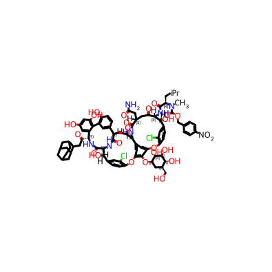 CC(C)C[C@H](C(=O)N[C@H]1C(=O)C[C@@H](CC(N)=O)C(=O)N[C@H]2C(=O)C[C@H]3C(=O)N[C@H](C(=O)N[C@H](C(=O)CC4C5CC6CC(C5)CC4C6)c4cc(O)cc(O)c4-c4cc3ccc4O)[C@H](O)c3ccc(c(Cl)c3)Oc3cc2cc(c3O[C@@H]2C[C@H](CO)[C@@H](O)[C@H](O)[C@H]2O)Oc2ccc(cc2Cl)[C@H]1O)N(C)C(=O)OCc1ccc([N+](=O)[O-])cc1